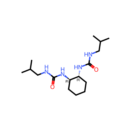 CC(C)CNC(=O)N[C@@H]1CCCC[C@H]1NC(=O)NCC(C)C